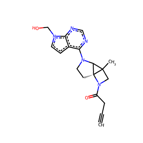 C#CCC(=O)N1CC2(C)C3N(c4ncnc5c4ccn5CO)CC[C@@]312